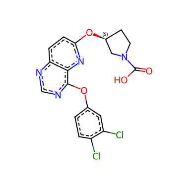 O=C(O)N1CC[C@H](Oc2ccc3ncnc(Oc4ccc(Cl)c(Cl)c4)c3n2)C1